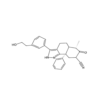 C[C@@H]1C(=O)C(C#N)C[C@@]2(c3ccccc3)c3n[nH]c(-c4cccc(CCO)c4)c3CCC12